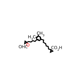 Cc1cc(CCCCCCC2(C(=O)O)CC2)cc(CCCCC2(OC=O)CC2)c1C